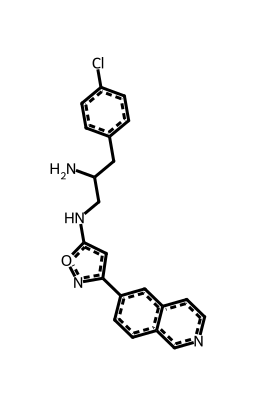 NC(CNc1cc(-c2ccc3cnccc3c2)no1)Cc1ccc(Cl)cc1